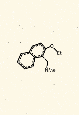 CCOc1ccc2ccccc2c1CNC